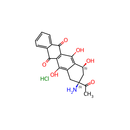 CC(=O)[C@]1(N)Cc2c(O)c3c(c(O)c2[C@@H](O)C1)C(=O)c1ccccc1C3=O.Cl